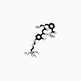 CC(CC(=O)N(Cc1cccc(C(=O)OC(C)(C)C)c1)CC(C)(C)C)c1ccc(OCOCC[Si](C)(C)C)cc1Cl